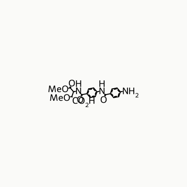 COC(=O)C(NC(=O)c1ccc(NC(=O)c2ccc(N)cc2)cc1)C(OC)C(=O)O